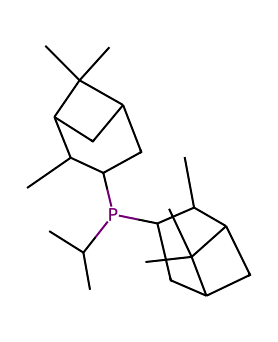 CC1C(P(C(C)C)C2CC3CC(C2C)C3(C)C)CC2CC1C2(C)C